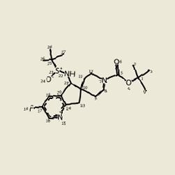 CC(C)(C)OC(=O)N1CCC2(CC1)Cc1ncc(F)cc1C2N[S+]([O-])C(C)(C)C